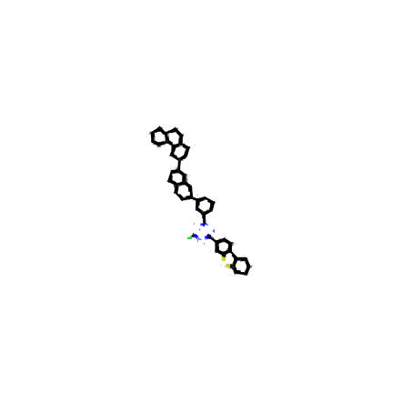 Clc1nc(-c2cccc(-c3ccc4ccc(-c5ccc6ccc7ccccc7c6c5)cc4c3)c2)nc(-c2ccc3c(c2)sc2ccccc23)n1